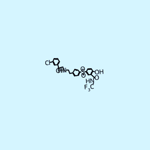 O=C(NCC(F)(F)F)c1cc(S(=O)(=O)c2ccc(CCNC[C@H](O)c3cccc(Cl)c3)cc2)ccc1O